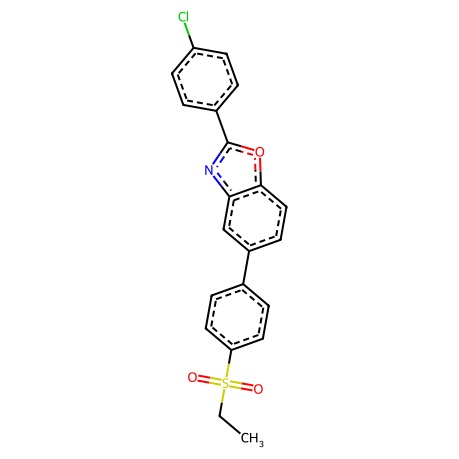 CCS(=O)(=O)c1ccc(-c2ccc3oc(-c4ccc(Cl)cc4)nc3c2)cc1